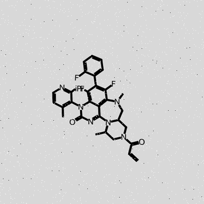 C=CC(=O)N1CC(C)N2c3nc(=O)n(-c4c(C)ccnc4C(C)C)c4c(F)c(-c5ccccc5F)c(F)c(c34)N(C)CC2C1